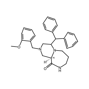 COc1ccccc1CN1CC(C(c2ccccc2)c2ccccc2)N2CCCNC(=O)[C@H]2C1